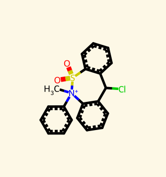 C[N+]1(c2ccccc2)c2ccccc2C(Cl)c2ccccc2S1(=O)=O